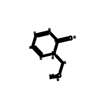 COCn1cc[c]cc1=O